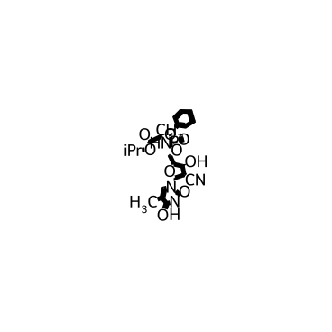 Cc1cn([C@@H]2OC(COP(=O)(N[C@@H](C)C(=O)OC(C)C)Oc3ccccc3)[C@H](O)C2C#N)c(=O)[nH]c1=O